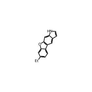 CCc1ccc2c(c1)oc1cc3[nH]ccc3cc12